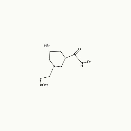 Br.CCCCCCCCCCN1CCCC(C(=O)NCC)C1